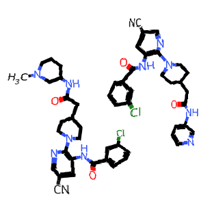 CN1CCCC(NC(=O)CC2CCN(c3ncc(C#N)cc3NC(=O)c3cccc(Cl)c3)CC2)C1.N#Cc1cnc(N2CCC(CC(=O)Nc3cccnc3)CC2)c(NC(=O)c2cccc(Cl)c2)c1